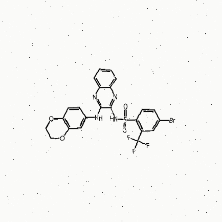 O=S(=O)(Nc1nc2ccccc2nc1Nc1ccc2c(c1)OCCO2)c1ccc(Br)cc1C(F)(F)F